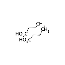 C/C=C/C(=O)O.CC=CC(=O)O